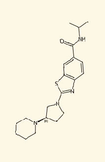 CC(C)NC(=O)c1ccc2nc(N3CC[C@@H](N4CCCCC4)C3)sc2c1